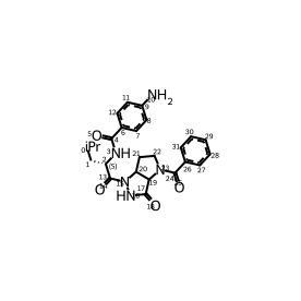 CC(C)C[C@H](NC(=O)c1ccc(N)cc1)C(=O)N1NC(=O)C2C1CCN2C(=O)c1ccccc1